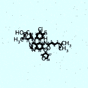 CN(C)C/C=C/C(=O)Nc1cc2c(N(c3ccc(F)c(Cl)c3)C(CC(=O)O)CN(C)C)ncnc2cc1O[C@H]1CCOC1